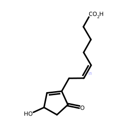 O=C(O)CCC/C=C\CC1=CC(O)CC1=O